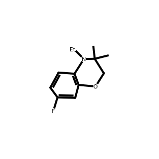 CCN1c2ccc(F)cc2OCC1(C)C